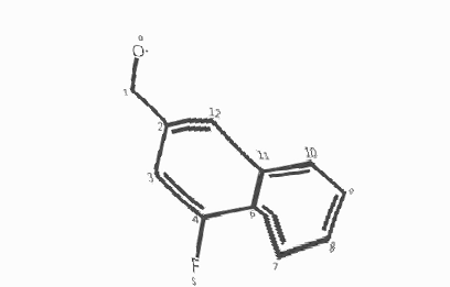 [O]Cc1cc(F)c2ccccc2c1